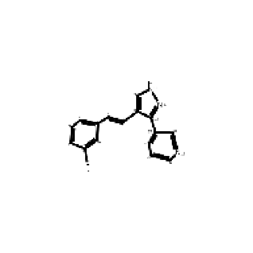 Fc1cccc(C=Cc2c[nH]nc2-c2cccnc2)c1